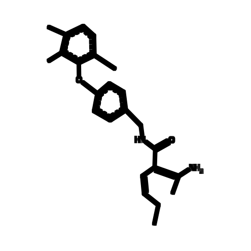 CC/C=C\C(C(=O)NCc1ccc(Oc2c(C)ccc(C)c2C)cc1)=C(/C)N